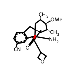 CO[C@H]1[C@H](C)C[C@@]2(Cc3ccc(C#N)cc3C23N=C(N)N(C2COC2)C3=O)C[C@@H]1C